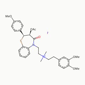 COc1ccc([C@@H]2Sc3ccccc3N(CC[N+](C)(C)CCc3ccc(OC)c(OC)c3)C(=O)[C@@H]2OC(C)=O)cc1.[I-]